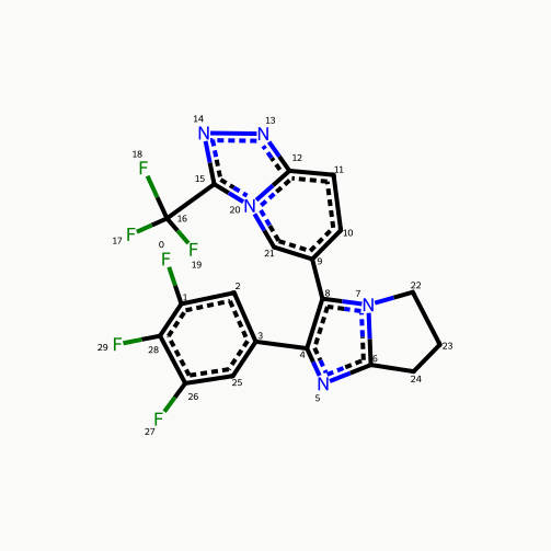 Fc1cc(-c2nc3n(c2-c2ccc4nnc(C(F)(F)F)n4c2)CCC3)cc(F)c1F